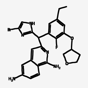 CCc1cc(OC2CCOC2)c(F)c(C(c2cc3cc(N)ccc3c(N)n2)c2nc(Br)c[nH]2)c1